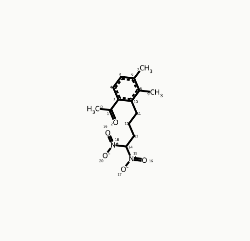 CC(=O)c1ccc(C)c(C)c1CCCC([N+](=O)[O-])[N+](=O)[O-]